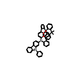 CC1(C)c2ccccc2C2(c3ccccc3-c3ccc(N(c4ccc5c6ccccc6n(-c6ccccc6)c5c4)c4ccccc4-c4ccccc4)cc32)c2ccccc21